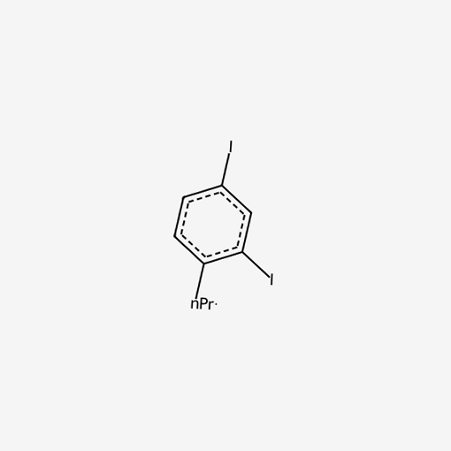 CC[CH]c1ccc(I)cc1I